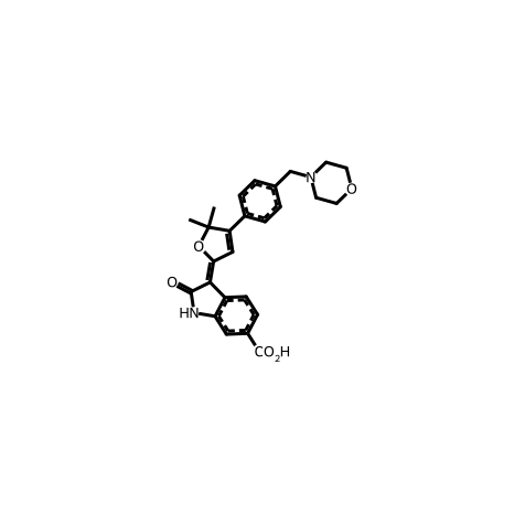 CC1(C)OC(=C2C(=O)Nc3cc(C(=O)O)ccc32)C=C1c1ccc(CN2CCOCC2)cc1